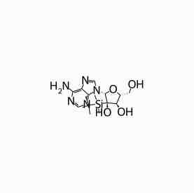 CC(C)(C)[Si](C)(C)[C@@]1(O)[C@H](O)[C@@H](CO)O[C@H]1n1cnc2c(N)ncnc21